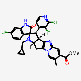 COC(=O)c1cc2nc3c(n2cc1C)C[C@H]1[C@@H]3[C@H](c2ccnc(Cl)c2F)[C@]2(C(=O)Nc3cc(Cl)ccc32)N1CC1CC1